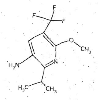 COc1nc(C(C)C)c(N)cc1C(F)(F)F